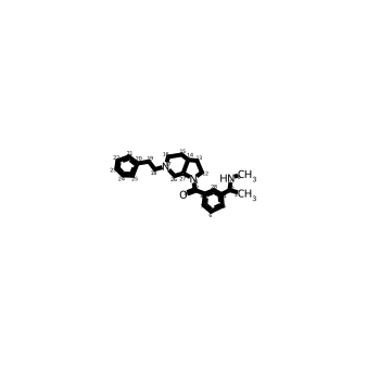 CNC(C)c1cccc(C(=O)N2CCC3CCN(CCc4ccccc4)CC32)c1